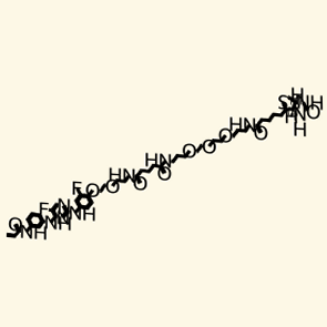 C=CC(=O)Nc1cccc(Nc2nc(Nc3ccc(OCCOCCNC(=O)CCCC(=O)NCCCOCCOCCOCCCNC(=O)CCCCC4SC[C@@H]5NC(=O)N[C@H]45)c(F)c3)ncc2F)c1